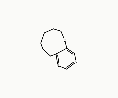 c1ncc2c(n1)CCCCCCC2